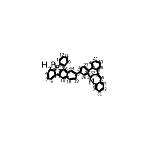 P[PH](c1ccccc1)(c1ccccc1)c1ccc2ccc(-c3ccc4c(c3)C3=Nc5ccccc5C=C(C3)c3ccccc3-4)cc2c1